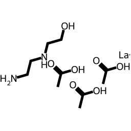 CC(=O)O.CC(=O)O.CC(=O)O.NCCNCCO.[La]